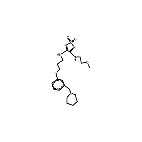 COCCNC1=NS(=O)(=O)N=C1NCCCOc1cccc(CN2CCCCC2)c1